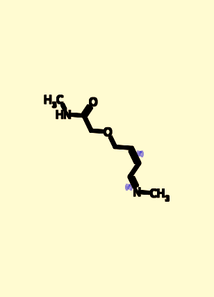 C/N=C\C=C/COCC(=O)NC